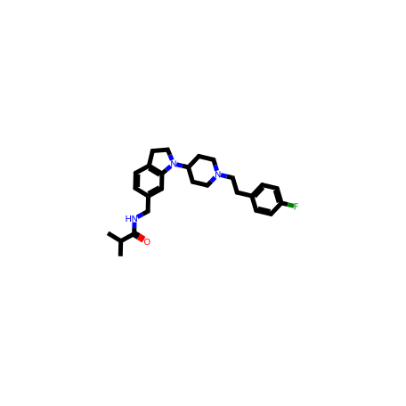 CC(C)C(=O)NCc1ccc2c(c1)N(C1CCN(CCc3ccc(F)cc3)CC1)CC2